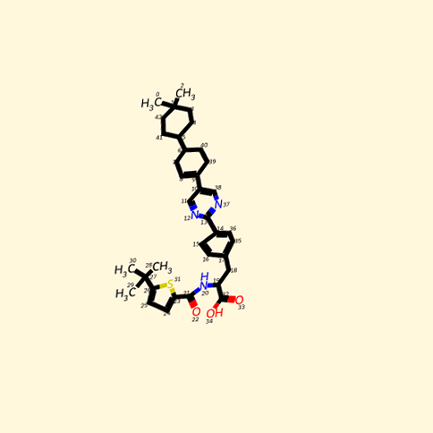 CC1(C)CCC(C2CC=C(c3cnc(-c4ccc(CC(NC(=O)c5ccc(C(C)(C)C)s5)C(=O)O)cc4)nc3)CC2)CC1